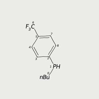 CCCCPc1ccc(C(F)(F)F)cc1